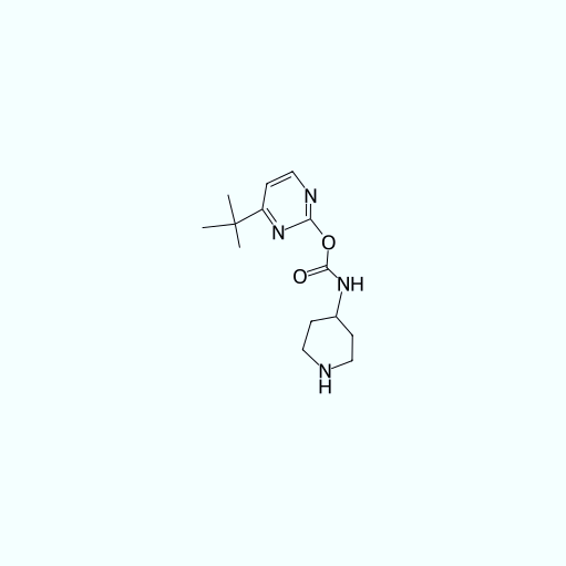 CC(C)(C)c1ccnc(OC(=O)NC2CCNCC2)n1